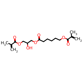 C=C(C)C(=O)OCCCCCC(=O)OCC(O)COC(=O)C(=C)C